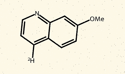 [2H]c1ccnc2cc(OC)ccc12